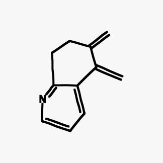 C=C1CCc2ncccc2C1=C